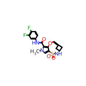 Cn1cc2c(c1C(=O)Nc1ccc(F)c(F)c1)OC=C1CC(C1)NS2(=O)=O